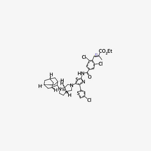 CCOC(=O)/C(C)=C/c1c(Cl)cc(C(=O)Nc2nc(-c3cc(Cl)cs3)c(N3C[C@@H]4CCN(C5[C@H]6C[C@@H]7C[C@@H](C[C@H]5C7)C6)[C@@H]4C3)s2)cc1Cl